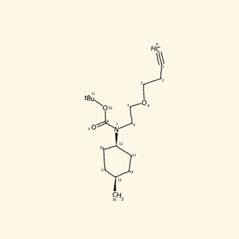 C#CCCOCCN(C(=O)OC(C)(C)C)[C@H]1CC[C@@H](C)CC1